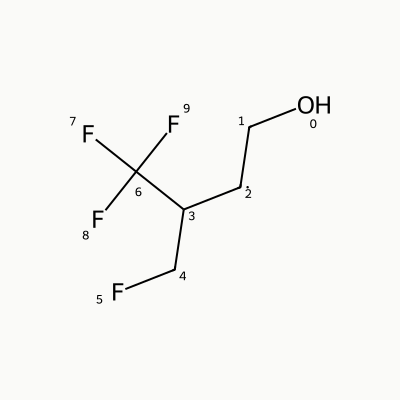 OC[CH]C(CF)C(F)(F)F